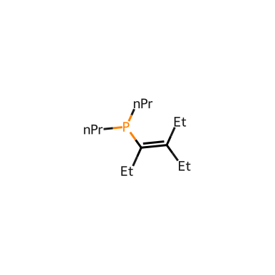 CCCP(CCC)C(CC)=C(CC)CC